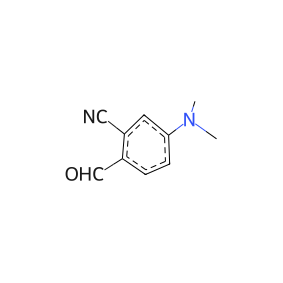 CN(C)c1ccc(C=O)c(C#N)c1